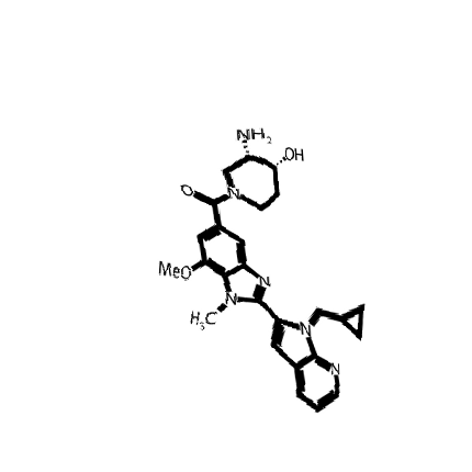 COc1cc(C(=O)N2CC[C@@H](O)[C@@H](N)C2)cc2nc(-c3cc4cccnc4n3CC3CC3)n(C)c12